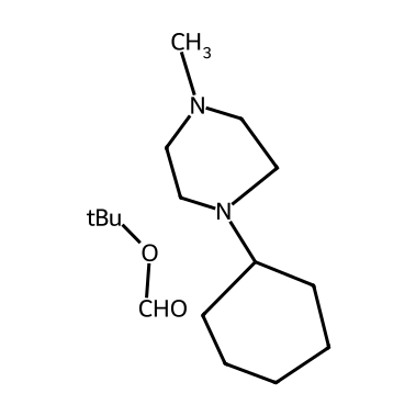 CC(C)(C)OC=O.CN1CCN(C2CCCCC2)CC1